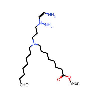 CCCCCCCCCOC(=O)CCCCCCCN(CCCCCCCC=O)CCCN(N)/C=C\N